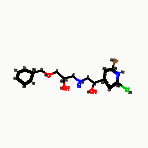 OC(CNC[C@@H](O)COCc1ccccc1)c1cc(Cl)nc(Br)c1